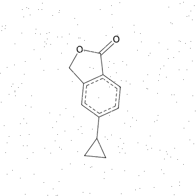 O=C1OCc2cc(C3CC3)ccc21